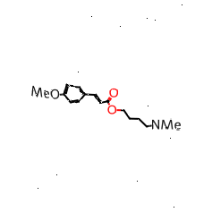 CNCCCCOC(=O)/C=C/c1ccc(OC)cc1